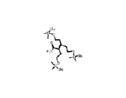 CC(C)(C)[Si](C)(C)OCCC(CCO[Si](C)(C)C(C)(C)C)=C(CCO[Si](C)(C)C(C)(C)C)C(N)=O